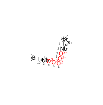 [Bi].[Bi].[Nb].[Nb].[O-2].[O-2].[O-2].[O-2].[O-2].[Ta+5].[Ta+5]